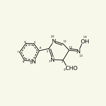 O=CC1N=C(c2ccccn2)N=CC1=NO